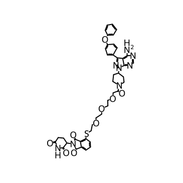 Nc1ncnc2c1c(-c1ccc(Oc3ccccc3)cc1)nn2C1CCN(C(=O)COCCOCCOCCSc2cccc3c2C(=O)N(C2CCC(=O)NC2=O)C3=O)CC1